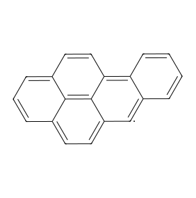 [c]1c2ccccc2c2ccc3cccc4ccc1c2c43